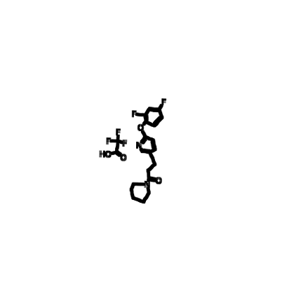 O=C(CCc1ccc(Oc2ccc(F)cc2F)nc1)N1CCCCC1.O=C(O)C(F)(F)F